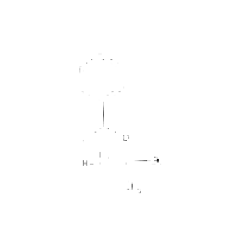 CC(C)(C)[Si](C)(C)OC(CN)c1ccncc1